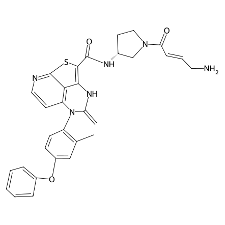 C=c1[nH]c2c(C(=O)N[C@@H]3CCN(C(=O)/C=C/CN)C3)sc3nccc(c32)n1-c1ccc(Oc2ccccc2)cc1C